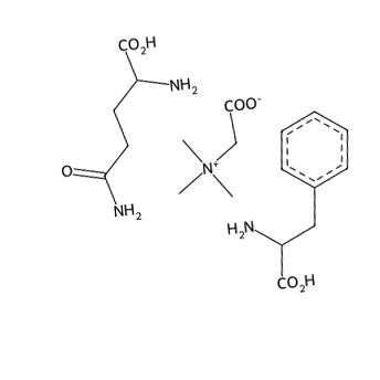 C[N+](C)(C)CC(=O)[O-].NC(=O)CCC(N)C(=O)O.NC(Cc1ccccc1)C(=O)O